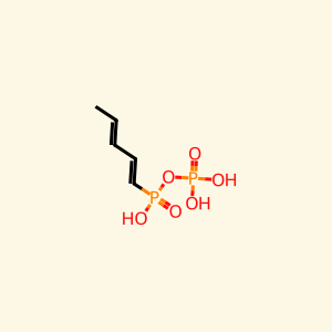 CC=CC=CP(=O)(O)OP(=O)(O)O